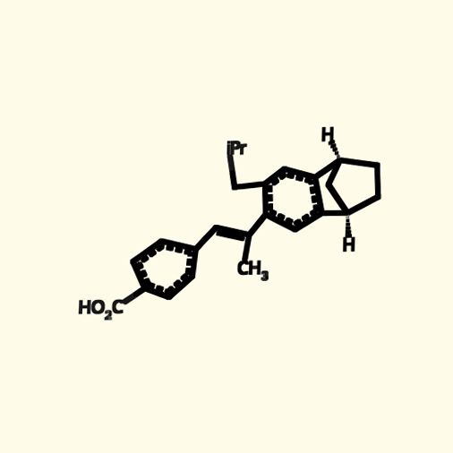 CC(=Cc1ccc(C(=O)O)cc1)c1cc2c(cc1CC(C)C)[C@H]1CC[C@@H]2C1